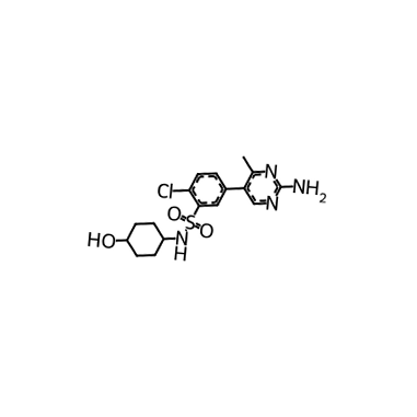 Cc1nc(N)ncc1-c1ccc(Cl)c(S(=O)(=O)NC2CCC(O)CC2)c1